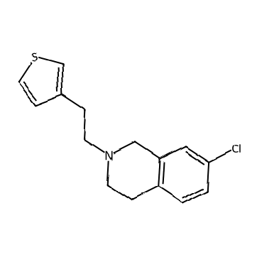 Clc1ccc2c(c1)CN(CCc1ccsc1)CC2